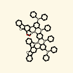 c1ccc(N(c2ccccc2)c2cc3c4c(c2)N(c2ccccc2)c2cc5c(cc2B4n2c4ccccc4c4c6oc7ccccc7c6cc-3c42)B2c3c(cc(N(c4ccccc4)c4ccccc4)cc3N5c3ccccc3)-c3cc4c5ccccc5oc4c4c5ccccc5n2c34)cc1